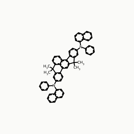 CC1(C)c2cc(N(c3ccccc3)c3cccc4ccccc34)ccc2-c2c1cc1c3c(cccc23)C(C)(C)c2cc(N(c3ccccc3)c3cccc4ccccc34)ccc2-1